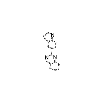 c1cnc2ccc(-c3ncc4ccccc4n3)cc2c1